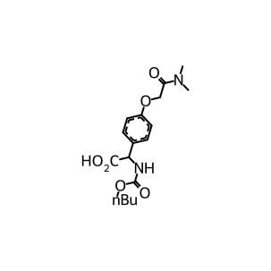 CCCCOC(=O)NC(C(=O)O)c1ccc(OCC(=O)N(C)C)cc1